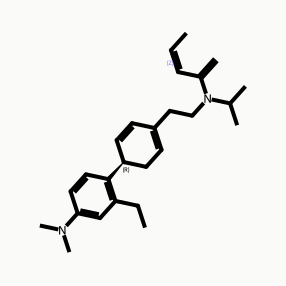 C=C(/C=C\C)N(CCC1=CC[C@@H](c2ccc(N(C)C)cc2CC)C=C1)C(C)C